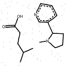 CC(C)CCC(=O)O.CN1CCCC1c1cccnc1